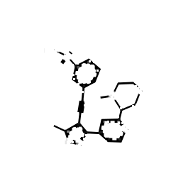 Cc1[nH]nc(-c2ccnc(C3CNCCN3C)c2)c1C#Cc1cccc(S(N)(=O)=O)c1